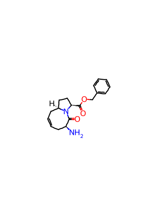 N[C@H]1C/C=C\C[C@H]2CC[C@@H](C(=O)OCc3ccccc3)N2C1=O